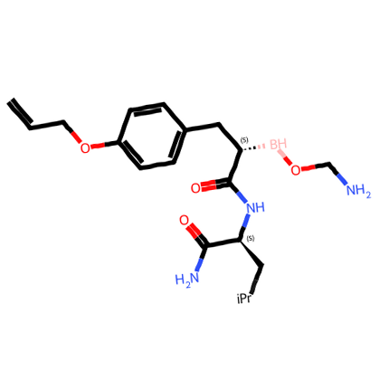 C=CCOc1ccc(C[C@H](BOCN)C(=O)N[C@@H](CC(C)C)C(N)=O)cc1